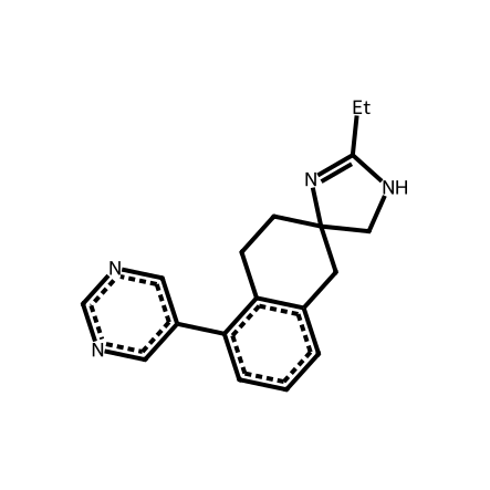 CCC1=NC2(CCc3c(cccc3-c3cncnc3)C2)CN1